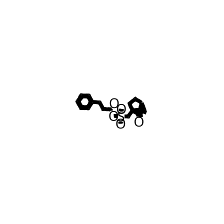 CC1(C)C2CCC1(CS(=O)(=O)OC(=O)CCc1ccccc1)C(=O)C2